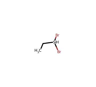 CC[SiH](Br)Br